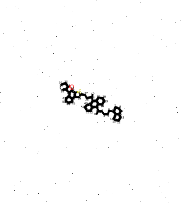 C/C(=C\C=C/Cc1cccc2ccccc12)c1c2ccccc2c(/C(C)=C/C=C2\Cc3c(c4oc5ccccc5c4c4ccccc34)S2)c2ccccc12